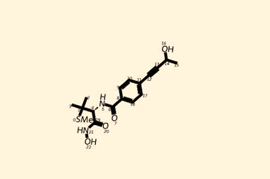 CSC(C)(C)[C@H](NC(=O)c1ccc(C#CC(C)O)cc1)C(=O)NO